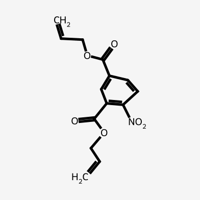 C=CCOC(=O)c1ccc([N+](=O)[O-])c(C(=O)OCC=C)c1